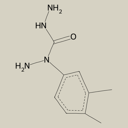 Cc1ccc(N(N)C(=O)NN)cc1C